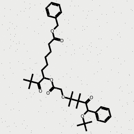 CC(C)(C)OC(C(=O)C(C)(C)C(C)(C)OCC(=O)OC(CCCCCC(=O)OCc1ccccc1)C(=O)C(C)(C)C)c1ccccc1